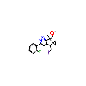 COCC1(C)c2nnc(-c3ccccc3F)cc2C(CI)C12CC2